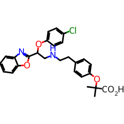 CC(C)(Oc1ccc(CCNCC(Oc2ccc(Cl)cc2)c2nc3ccccc3o2)cc1)C(=O)O